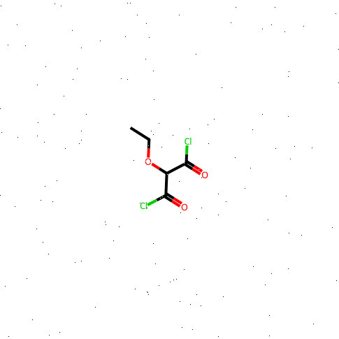 CCOC(C(=O)Cl)C(=O)Cl